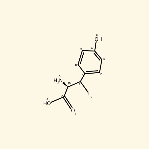 N[C@H](C(=O)O)C(I)c1ccc(O)cc1